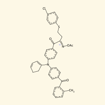 CC(=O)O/N=C(\CCSc1ccc(Cl)cc1)C(=O)c1ccc(N(C2=CC=CCC2)c2ccc(C(=O)c3ccccc3C)cc2)cc1